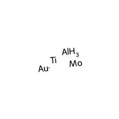 [AlH3].[Au].[Mo].[Ti]